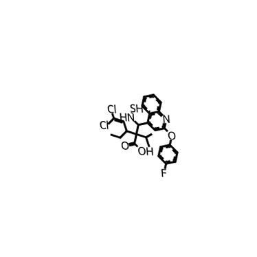 CCC(C=C(Cl)Cl)C(C(=O)O)(C(C)C)C(NS)c1cc(Oc2ccc(F)cc2)nc2ccccc12